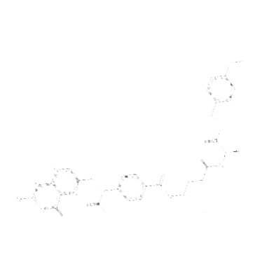 CCOc1ccc(COC(=O)[C@@H](CC)NC(=O)CC[C@@H](NC(=O)c2ccc(N(Cc3cnc4nc(N)[nH]c(=O)c4n3)C(=O)C(F)(F)F)cc2)C(=O)O)cc1